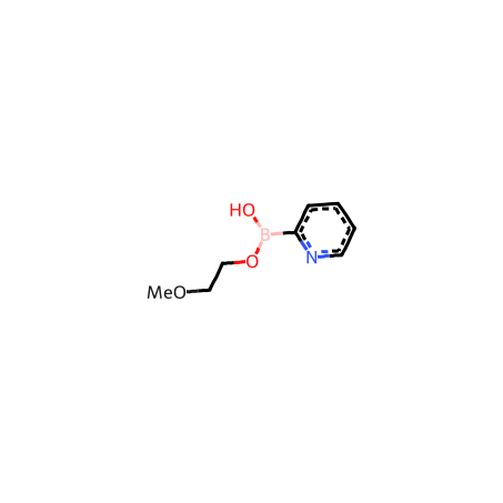 COCCOB(O)c1ccccn1